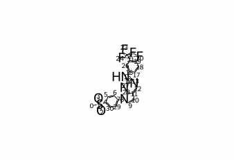 CS(=O)(=O)c1ccc(-n2ccc3cnc(Nc4ccc(F)c(C(F)(F)F)c4)nc32)cc1